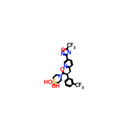 O=C([C@@H](Cc1ccc(-c2noc(C(F)(F)F)n2)cn1)c1cccc(C(F)(F)F)c1)N1CCS(O)(O)CC1